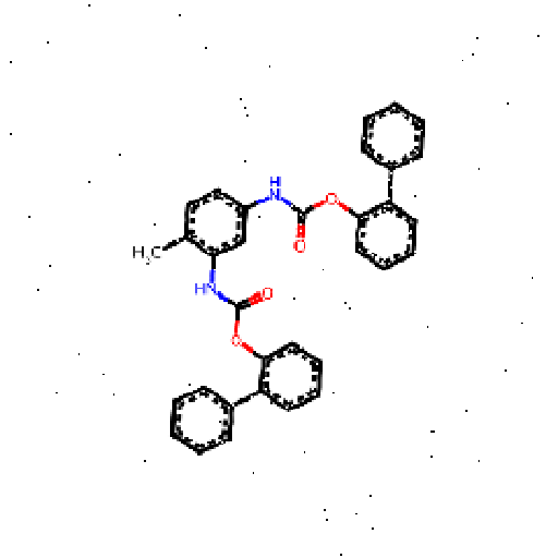 Cc1ccc(NC(=O)Oc2ccccc2-c2ccccc2)cc1NC(=O)Oc1ccccc1-c1ccccc1